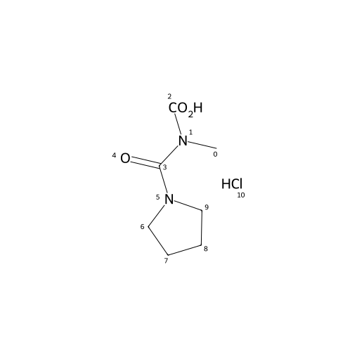 CN(C(=O)O)C(=O)N1CCCC1.Cl